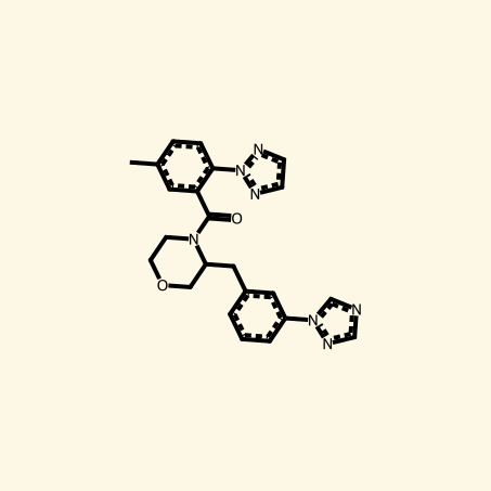 Cc1ccc(-n2nccn2)c(C(=O)N2CCOCC2Cc2cccc(-n3cncn3)c2)c1